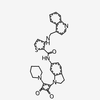 O=C(Nc1ccc2c(c1)N(c1c(N3CCCCC3)c(=O)c1=O)CC2)c1sccc1NCc1ccnc2ccccc12